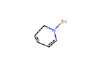 SN1C=CC=CC1